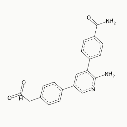 NC(=O)c1ccc(-c2cc(-c3ccc(C[SH](=O)=O)cc3)cnc2N)cc1